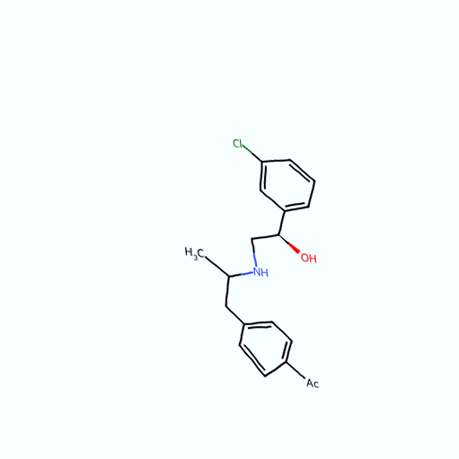 CC(=O)c1ccc(CC(C)NC[C@H](O)c2cccc(Cl)c2)cc1